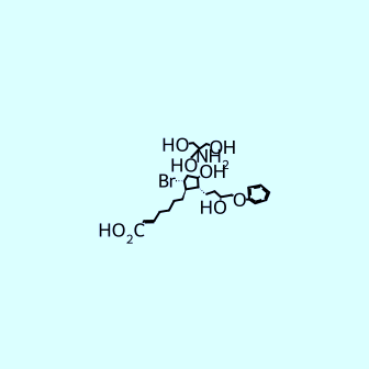 NC(CO)(CO)CO.O=C(O)C=CCCCC[C@@H]1[C@@H](CC[C@@H](O)COc2ccccc2)[C@H](O)C[C@H]1Br